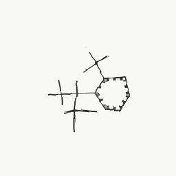 CC(C)(C)C(C)(c1ccccc1C(F)(F)F)C(C)(C)C